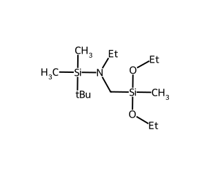 CCO[Si](C)(CN(CC)[Si](C)(C)C(C)(C)C)OCC